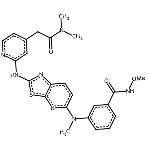 CONC(=O)c1cccc(N(C)c2ccc3nc(Nc4cc(CC(=O)N(C)C)ccn4)sc3n2)c1